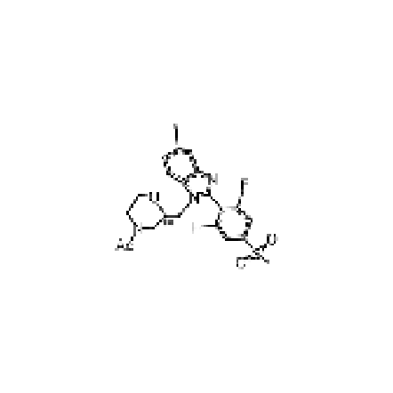 CC(=O)N1CCO[C@@H](Cn2c(-c3c(F)cc(S(C)(=O)=O)cc3F)nc3cc(C)ccc32)C1